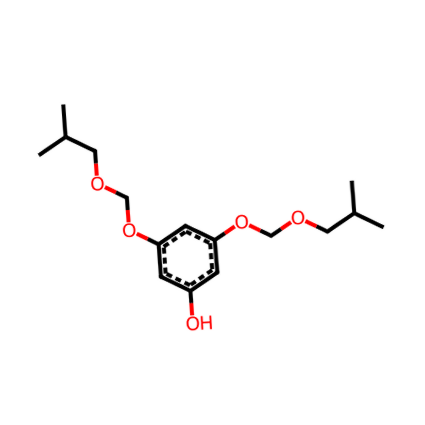 CC(C)COCOc1cc(O)cc(OCOCC(C)C)c1